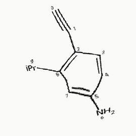 C#Cc1ccc(N)cc1C(C)C